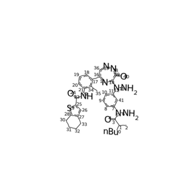 CCCCC(C)C(=O)N(N)c1cccc(N(N)c2nc(-c3cccc(NC(=O)c4cc5c(s4)CCCC5)c3C)cnnc2=O)c1